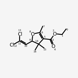 CCOC(=O)C1=C(C)OC(C=C(Cl)Cl)C1(C)C